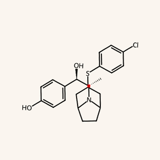 C[C@@H]([C@H](O)c1ccc(O)cc1)N1C2CCC1CC(Sc1ccc(Cl)cc1)C2